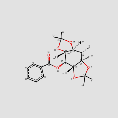 C[C@@H]1[C@H]2OC(C)(C)O[C@@H]2[C@@H](OC(=O)c2ccccc2)[C@@H]2OC(C)(C)O[C@@H]12